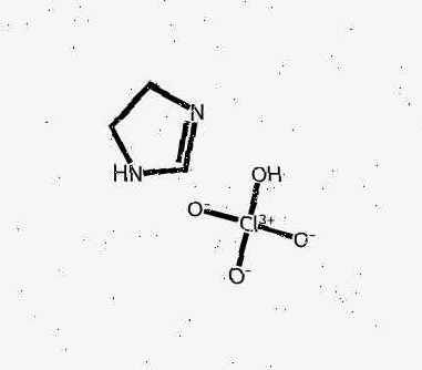 C1=NCCN1.[O-][Cl+3]([O-])([O-])O